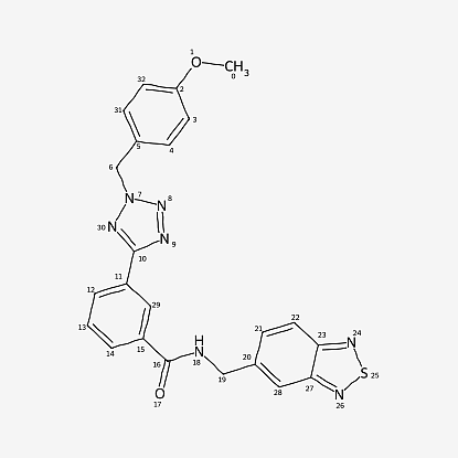 COc1ccc(Cn2nnc(-c3cccc(C(=O)NCc4ccc5nsnc5c4)c3)n2)cc1